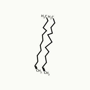 C=CCCCCCCCCCC.C=CCCCCCCCCCC